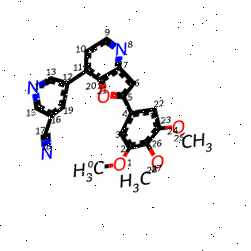 COc1cc(-c2cc3nccc(-c4cncc(C#N)c4)c3o2)cc(OC)c1OC